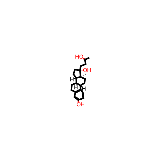 CC(O)CC[C@]1(O)CC[C@H]2[C@@H]3CCc4cc(O)ccc4[C@H]3CC[C@@]21C